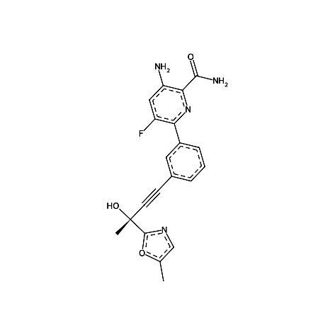 Cc1cnc([C@](C)(O)C#Cc2cccc(-c3nc(C(N)=O)c(N)cc3F)c2)o1